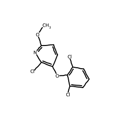 COc1ccc(Oc2c(Cl)cccc2Cl)c(Cl)n1